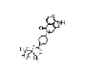 CC(C)(C)OC(=O)N1CCC(N2Cc3c[nH]c4nccc(c34)C2=O)CC1